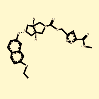 CCOc1ccc2ccc(O[C@@H]3C[C@@H]4CN(C(=O)OCc5cc(C(=O)NC)no5)C[C@@H]4C3)cc2c1